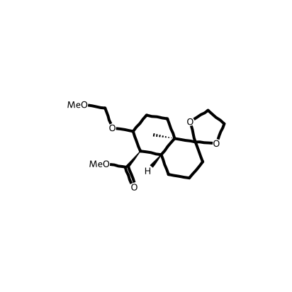 COCOC1CC[C@]2(C)[C@H](CCCC23OCCO3)[C@H]1C(=O)OC